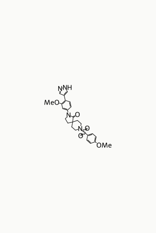 COc1ccc(S(=O)(=O)N2CCC3(CCN(c4ccc(-c5cn[nH]c5)c(OC)c4)C3=O)CC2)cc1